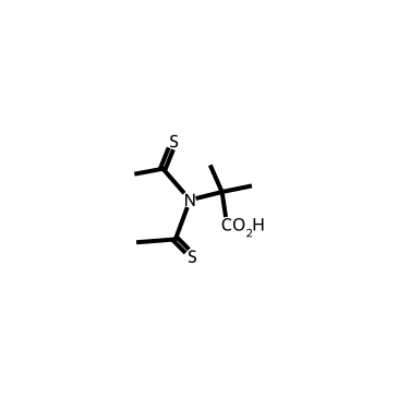 CC(=S)N(C(C)=S)C(C)(C)C(=O)O